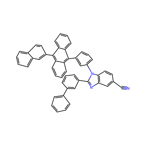 N#Cc1ccc2c(c1)nc(-c1cccc(-c3ccccc3)c1)n2-c1cccc(-c2c3ccccc3c(-c3ccc4ccccc4c3)c3ccccc23)c1